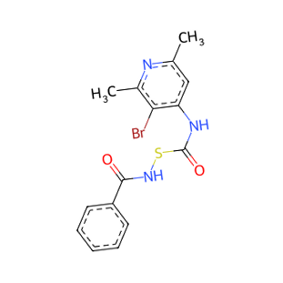 Cc1cc(NC(=O)SNC(=O)c2ccccc2)c(Br)c(C)n1